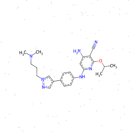 CC(C)Oc1nc(Nc2ccc(-c3cnn(CCCN(C)C)c3)cc2)cc(N)c1C#N